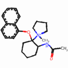 CC(=O)NC1CCCCC1(Oc1cccc2ccccc12)[N+]1(C)CCCC1